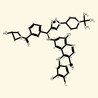 CC(C)(C)N1CCC(n2cc([C@@H](Nc3cc(Cl)c4ncc(C#N)c(Nc5ccc(F)c(Cl)c5)c4c3)c3cccc(C(=O)N4CC(O)C4)c3)nn2)CC1